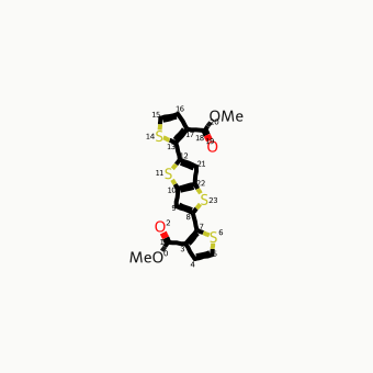 COC(=O)c1ccsc1-c1cc2sc(-c3sccc3C(=O)OC)cc2s1